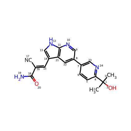 CC(C)(O)c1ccc(-c2cnc3[nH]cc(/C=C(\C#N)C(N)=O)c3c2)cn1